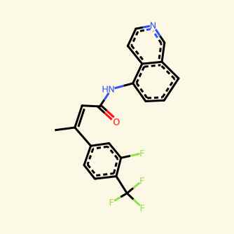 CC(=CC(=O)Nc1cccc2cnccc12)c1ccc(C(F)(F)F)c(F)c1